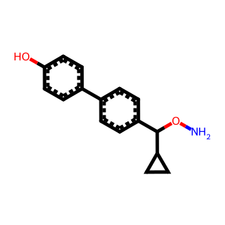 NOC(c1ccc(-c2ccc(O)cc2)cc1)C1CC1